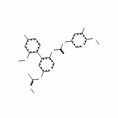 C/N=C(/C)Sc1cc(-c2ccc(F)cc2OC)c(NC(=O)Nc2cnc(OC)c(Cl)c2)cn1